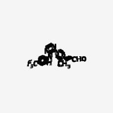 C[C@@H]1CN(c2nccnc2Nc2ccc(C(F)(F)F)cc2)CCN1C=CC=O